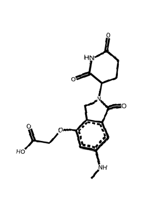 CNc1cc(OCC(=O)O)c2c(c1)C(=O)N(C1CCC(=O)NC1=O)C2